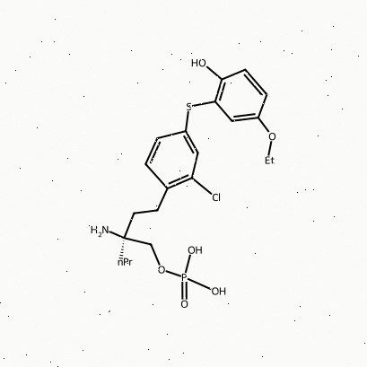 CCC[C@](N)(CCc1ccc(Sc2cc(OCC)ccc2O)cc1Cl)COP(=O)(O)O